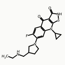 CCNCC1CCN(c2cc3c(cc2F)c(=O)c2c(=O)[nH]sc2n3C2CC2)C1